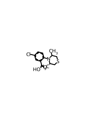 CC1CSCC(C)N1c1ccc(Cl)cc1C(=O)O